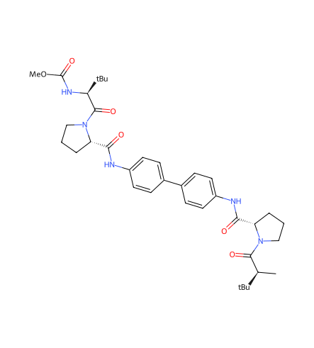 COC(=O)N[C@H](C(=O)N1CCC[C@H]1C(=O)Nc1ccc(-c2ccc(NC(=O)[C@@H]3CCCN3C(=O)[C@@H](C)C(C)(C)C)cc2)cc1)C(C)(C)C